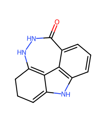 O=c1[nH][nH]c2c3c([nH]c4cccc1c43)=CCC2